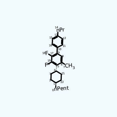 CCCCC[C@H]1CC[C@H](c2c(C)cc(-c3ccc(CCC)cc3)c(F)c2F)CC1